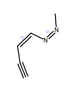 C#C/C=C\N=N/C